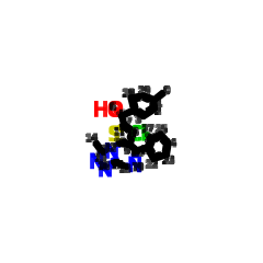 Cc1ccc(C(O)c2cc3c(s2)-n2c(C)nnc2CN=C3c2ccccc2Cl)cc1